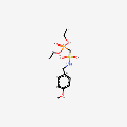 CCOP(=O)(CS(=O)(=O)NCc1ccc(OC)cc1)OCC